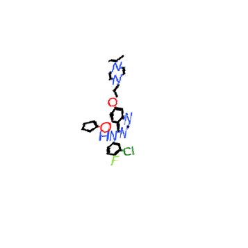 CC(C)N1CCN(CCCOc2cc(OC3CCCC3)c3c(Nc4ccc(F)c(Cl)c4)ncnc3c2)CC1